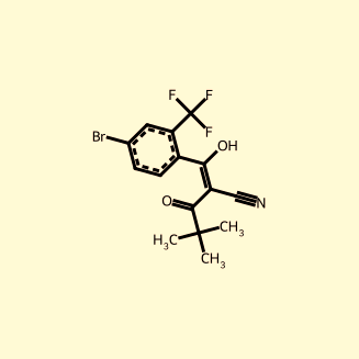 CC(C)(C)C(=O)C(C#N)=C(O)c1ccc(Br)cc1C(F)(F)F